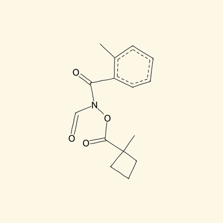 Cc1ccccc1C(=O)N(C=O)OC(=O)C1(C)CCC1